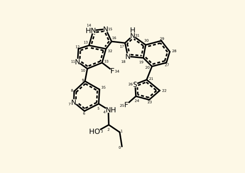 CCC(O)Nc1cncc(-c2ncc3[nH]nc(-c4nc5c(-c6ccc(F)s6)cccc5[nH]4)c3c2F)c1